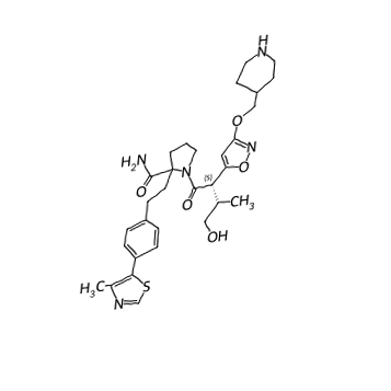 Cc1ncsc1-c1ccc(CCC2(C(N)=O)CCCN2C(=O)[C@H](c2cc(OCC3CCNCC3)no2)C(C)CO)cc1